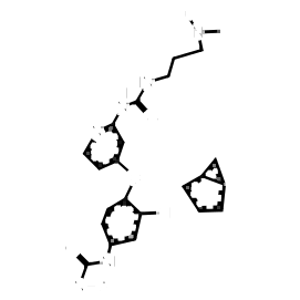 CCN(CC)CCCNC(=O)Nc1cc(Oc2ccc(NC(=O)NC(C)=O)cc2C)ccn1.c1cc2cc-2c1